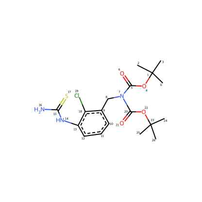 CC(C)(C)OC(=O)N(Cc1cccc(NC(N)=S)c1Cl)C(=O)OC(C)(C)C